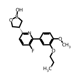 CCCOc1cc(-c2nc([C@@H]3COB(O)C3)ccc2F)ccc1OC